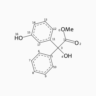 COC(=O)C(O)(c1ccccc1)c1cccc(O)c1